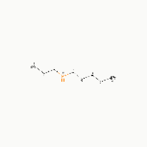 CC(C)CCCCPCCC(C)C